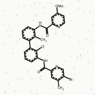 COc1ccnc(C(=O)Nc2cccc(-c3cccc(NC(=O)c4cc(C)c(Br)cn4)c3Cl)c2C)c1